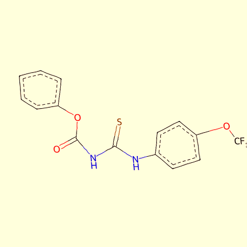 O=C(NC(=S)Nc1ccc(OC(F)(F)F)cc1)Oc1ccccc1